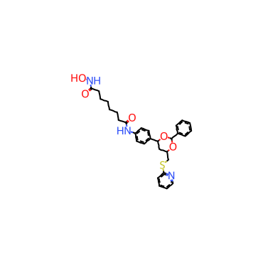 O=C(CCCCCCC(=O)Nc1ccc(C2CC(CSc3ccccn3)OC(c3ccccc3)O2)cc1)NO